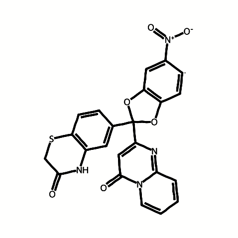 O=C1CSc2ccc(C3(c4cc(=O)n5ccccc5n4)Oc4c[c]c([N+](=O)[O-])cc4O3)cc2N1